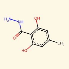 Cc1cc(O)c(C(=O)NN)c(O)c1